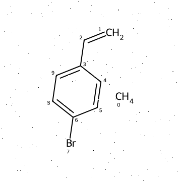 C.C=Cc1ccc(Br)cc1